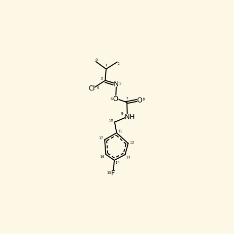 CC(C)C(Cl)=NOC(=O)NCc1ccc(F)cc1